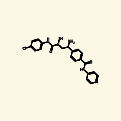 NC(CN(S)C(=O)Nc1ccc(Cl)cc1)c1ccc(C(=O)Nc2ccncc2)cc1